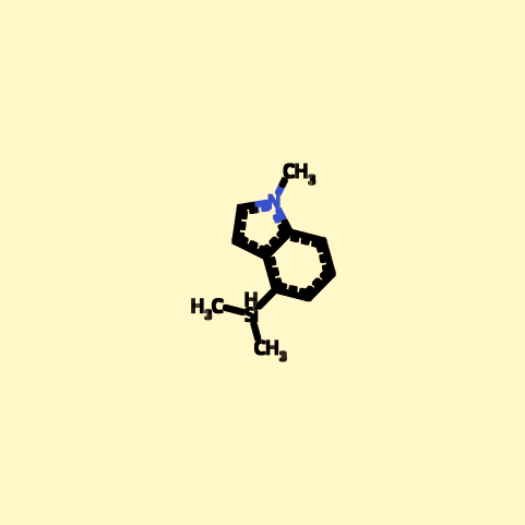 Cn1ccc2c([SiH](C)C)cccc21